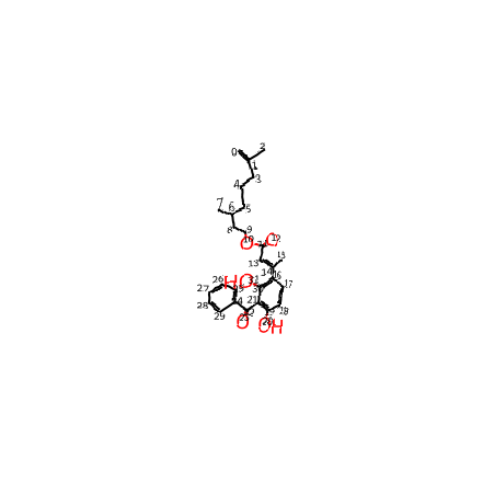 C=C(C)CCCC(C)CCOC(=O)C=C(C)c1ccc(O)c(C(=O)c2ccccc2)c1O